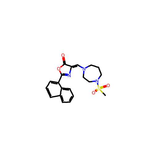 CS(=O)(=O)N1CCCN(C=C2N=C(c3cccc4ccccc34)OC2=O)CC1